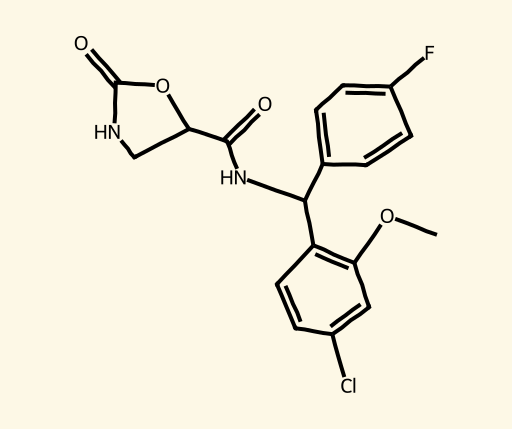 COc1cc(Cl)ccc1C(NC(=O)C1CNC(=O)O1)c1ccc(F)cc1